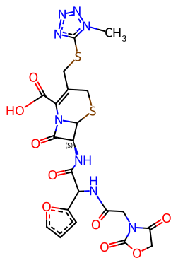 Cn1nnnc1SCC1=C(C(=O)O)N2C(=O)[C@H](NC(=O)C(NC(=O)CN3C(=O)COC3=O)c3ccco3)C2SC1